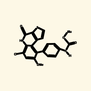 CCN(C(=O)OC(C)(C)C)c1ccc(-c2c(OC)cc(Cl)c3[nH]c(=O)c4sccc4c23)cc1